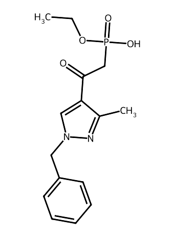 CCOP(=O)(O)CC(=O)c1cn(Cc2ccccc2)nc1C